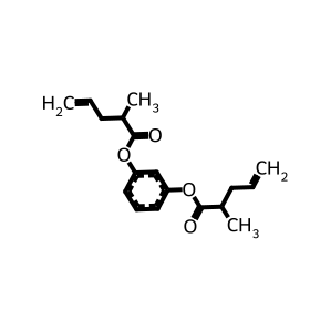 C=CCC(C)C(=O)Oc1cccc(OC(=O)C(C)CC=C)c1